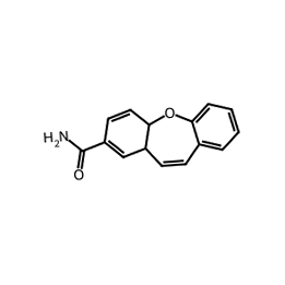 NC(=O)C1=CC2C=Cc3ccccc3OC2C=C1